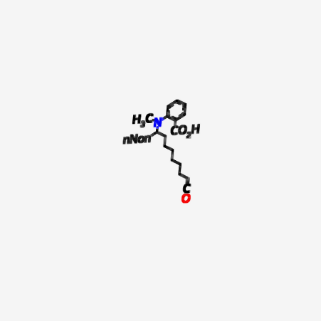 CCCCCCCCCC(CCCCCCC=C=O)N(C)c1ccccc1C(=O)O